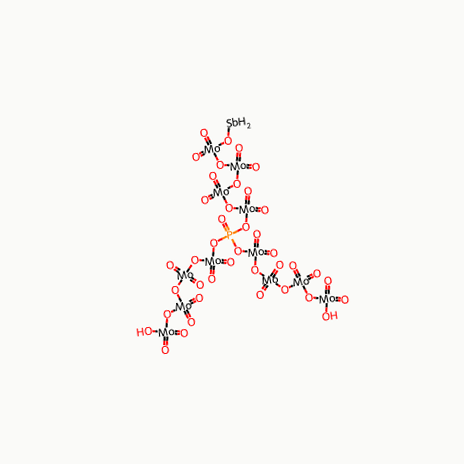 O=P([O][Mo](=[O])(=[O])[O][Mo](=[O])(=[O])[O][Mo](=[O])(=[O])[O][Mo](=[O])(=[O])[OH])([O][Mo](=[O])(=[O])[O][Mo](=[O])(=[O])[O][Mo](=[O])(=[O])[O][Mo](=[O])(=[O])[OH])[O][Mo](=[O])(=[O])[O][Mo](=[O])(=[O])[O][Mo](=[O])(=[O])[O][Mo](=[O])(=[O])[O][SbH2]